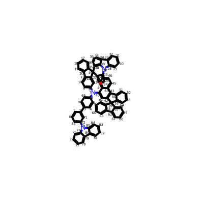 c1cc(-c2ccc(N(c3ccc4c(c3)C3(c5ccccc5-4)c4ccccc4-n4c5ccccc5c5cccc3c54)c3cc4c(c5ccccc35)-c3ccccc3C43c4ccccc4-c4ccccc43)cc2)cc(-n2c3ccccc3c3ccccc32)c1